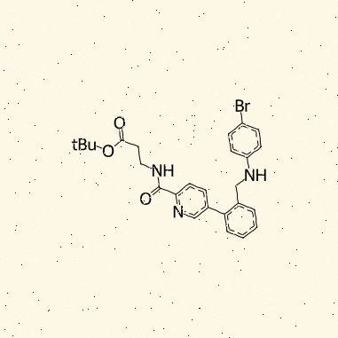 CC(C)(C)OC(=O)CCNC(=O)c1ccc(-c2ccccc2CNc2ccc(Br)cc2)cn1